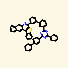 c1ccc(-c2ccc(-c3nc(-c4ccccc4)nc(-c4cccc(-c5cccc(-c6nc7cc8ccccc8cc7c7c6sc6ccccc67)c5)c4)n3)cc2)cc1